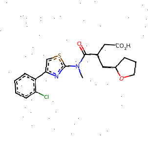 CN(C(=O)C(CC(=O)O)CC1CCCO1)c1nc(-c2ccccc2Cl)cs1